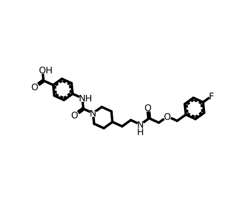 O=C(COCc1ccc(F)cc1)NCCC1CCN(C(=O)Nc2ccc(C(=O)O)cc2)CC1